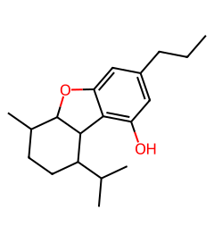 CCCc1cc(O)c2c(c1)OC1C(C)CCC(C(C)C)C21